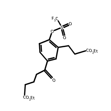 CCOC(=O)CCCC(=O)c1ccc(OS(=O)(=O)C(F)(F)F)c(CCC(=O)OCC)c1